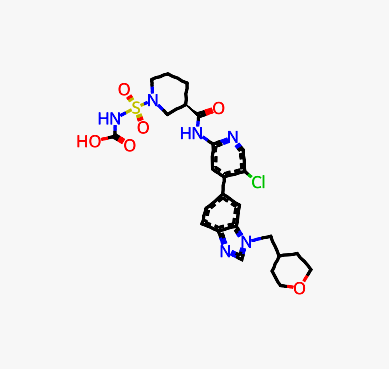 O=C(O)NS(=O)(=O)N1CCC[C@@H](C(=O)Nc2cc(-c3ccc4ncn(CC5CCOCC5)c4c3)c(Cl)cn2)C1